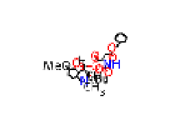 COc1ccc2c3c1O[C@@H]1C[C@@H](OC(=O)[C@@H](CC(=O)OCc4ccccc4)NC(=O)OC(C)(C)C)C(C)[C@]31CCN(C)C2